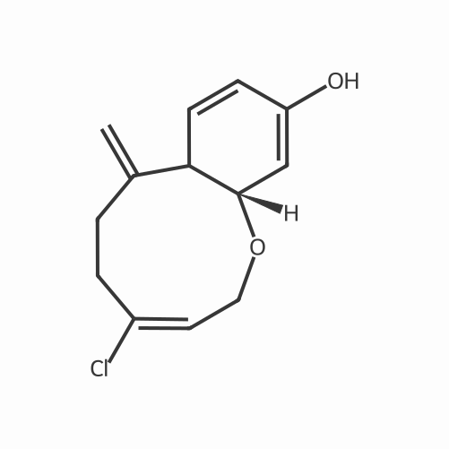 C=C1CCC(Cl)=CCO[C@H]2C=C(O)C=CC12